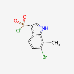 Cc1c(Br)ccc2c(S(=O)(=O)Cl)c[nH]c12